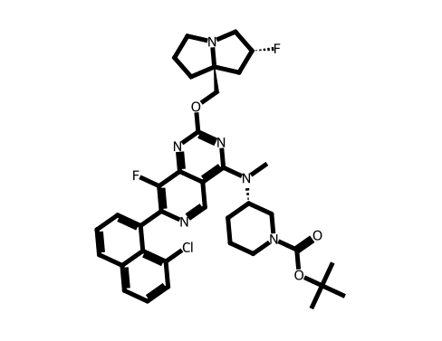 CN(c1nc(OC[C@@]23CCCN2C[C@H](F)C3)nc2c(F)c(-c3cccc4cccc(Cl)c34)ncc12)[C@H]1CCCN(C(=O)OC(C)(C)C)C1